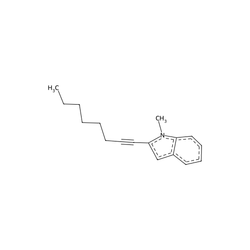 CCCCCCC#Cc1cc2ccccc2n1C